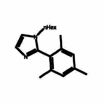 [CH2]CCCCCn1ccnc1-c1c(C)cc(C)cc1C